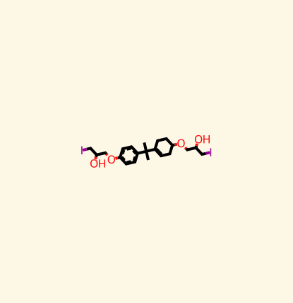 CC(C)(C1=CCC(OCC(O)CI)CC1)c1ccc(OCC(O)CI)cc1